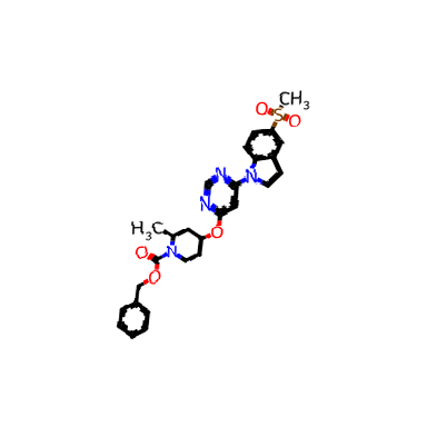 CC1CC(Oc2cc(N3CCc4cc(S(C)(=O)=O)ccc43)ncn2)CCN1C(=O)OCc1ccccc1